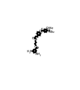 CCCCOc1ccc(C(F)(F)Oc2ccc(C=CC(=O)OCCCCOC(=O)c3cc(N)cc(N)c3)cc2)cc1OC